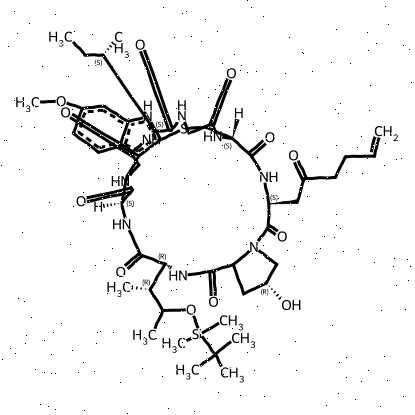 C=CCCC(=O)C[C@@H]1NC(=O)[C@H]2CSc3[nH]c4cc(OC)ccc4c3C[C@H](NC(=O)[C@@H]([C@@H](C)C(C)O[Si](C)(C)C(C)(C)C)NC(=O)C3C[C@@H](O)CN3C1=O)C(=O)NCC(=O)N[C@@H]([C@@H](C)CC)C(=O)NCC(=O)N2